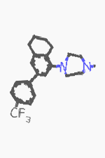 CN1CCN(c2cc(-c3ccc(C(F)(F)F)cc3)cc3c2CCCC3)CC1